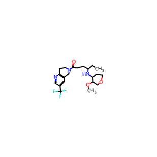 CCC(CCC(=O)N1CCc2ncc(C(F)(F)F)cc2C1)NC1CCOCC1OC